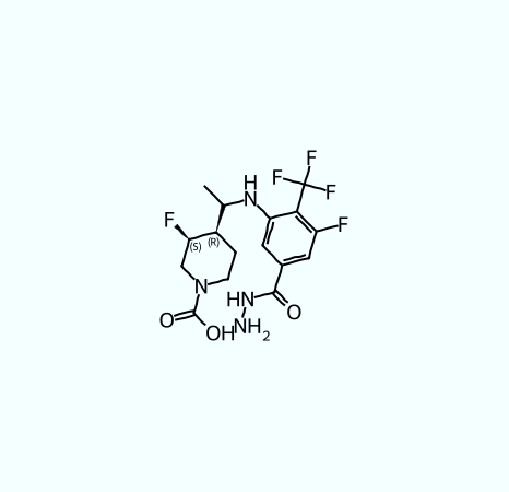 CC(Nc1cc(C(=O)NN)cc(F)c1C(F)(F)F)[C@H]1CCN(C(=O)O)C[C@H]1F